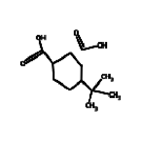 CC(C)(C)C1CCC(C(=O)O)CC1.O=CO